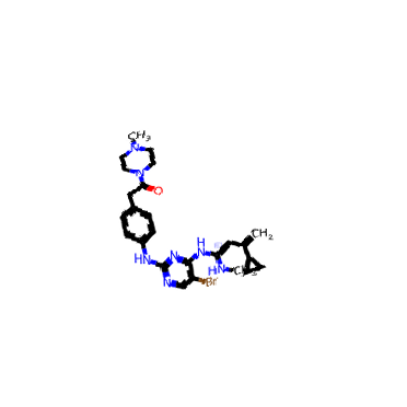 C=C(/C=C(\NC)Nc1nc(Nc2ccc(CC(=O)N3CCN(C)CC3)cc2)ncc1Br)C1CC1